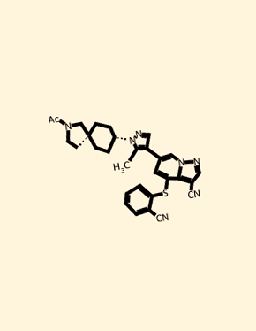 CC(=O)N1CC[C@]2(CC[C@@H](n3ncc(-c4cc(Sc5ccccc5C#N)c5c(C#N)cnn5c4)c3C)CC2)C1